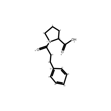 O=C(O)C1CCCN1C(=O)CCc1ccccc1